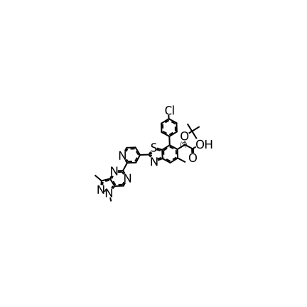 Cc1cc2nc(-c3ccnc(-c4ncc5c(n4)c(C)nn5C)c3)sc2c(-c2ccc(Cl)cc2)c1[C@H](OC(C)(C)C)C(=O)O